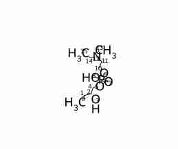 CCC(O)COP(=O)(O)OCCN(C)CC